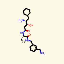 CC(C)C[C@H](NC(=O)C[C@H](O)[C@@H](N)CC1CCCCC1)C(=O)NCc1cccc(CN)c1